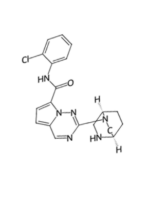 O=C(Nc1ccccc1Cl)c1ccc2cnc(N3C[C@H]4CC[C@@H]3CN4)nn12